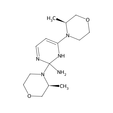 C[C@H]1COCCN1C1=CC=NC(N)(N2CCOC[C@@H]2C)N1